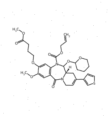 C=CCOC(=O)N1c2cc(OCCCC(=O)OC)c(OC)cc2C(=O)N2CC=C(c3ccsc3)C[C@H]2C1OC1CCCCO1